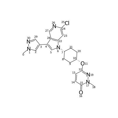 Cn1cc(-c2cn([C@H]3CC[C@@H](Oc4ccc(=O)n(C)n4)CC3)c3cc(Cl)ncc23)cn1